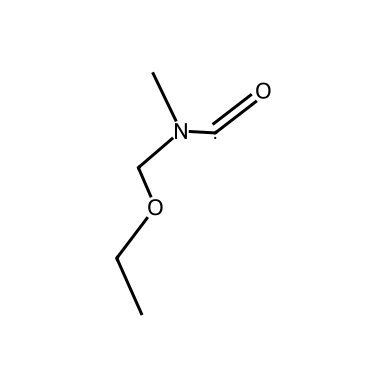 CCOCN(C)[C]=O